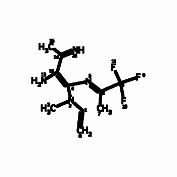 C=CN(C)C(/N=C(\C)C(F)(F)F)=C(\N)C(C)=N